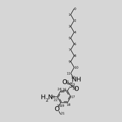 CCCCCCCCCCCCNS(=O)(=O)c1ccc(OC)c(N)c1